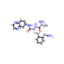 CC(C)[C@H](N)C(=O)N[C@H](CCc1ccccc1CN)C(=O)Nc1ccc2nccnc2c1